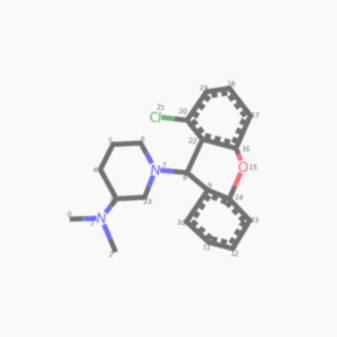 CN(C)C1CCCN(C2c3ccccc3Oc3cccc(Cl)c32)C1